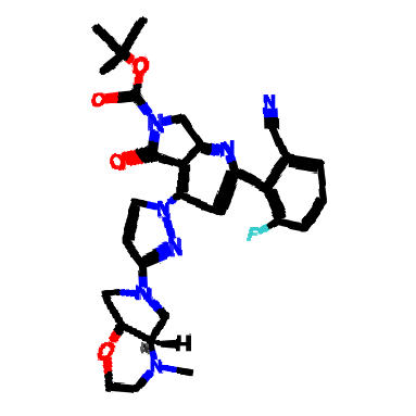 CN1CCOC2CN(c3ccn(-c4cc(-c5c(F)cccc5C#N)nc5c4C(=O)N(C(=O)OC(C)(C)C)C5)n3)C[C@@H]21